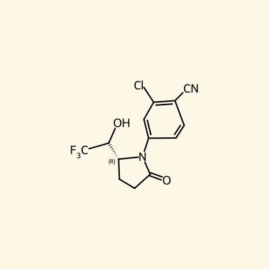 N#Cc1ccc(N2C(=O)CC[C@@H]2C(O)C(F)(F)F)cc1Cl